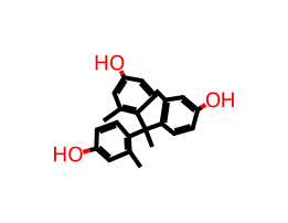 Cc1cc(O)ccc1C(C)(c1ccc(O)cc1C)c1ccc(O)cc1C